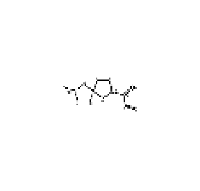 C=CC(=O)N1CCC2(CCN(C)C2)C1